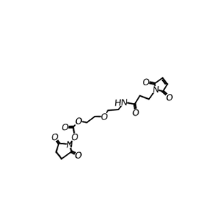 O=C(CCN1C(=O)C=CC1=O)NCCOCCOC(=O)ON1C(=O)CCC1=O